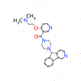 CN(C)CCOc1ccncc1C(=O)N1CCN(C2c3ccccc3-c3cnccc32)CC1